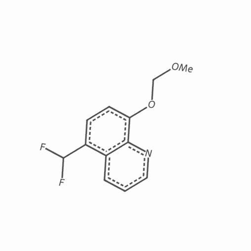 COCOc1ccc(C(F)F)c2cccnc12